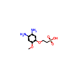 COc1cc(N)c(N)cc1OCCS(=O)(=O)O